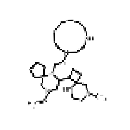 C=NN1CC(C2CCC23CN(C)CCN3)N(CNN2CCCCCCCNCC2)C2(CCCC2)C1